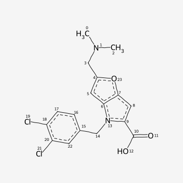 CN(C)Cc1cc2c(cc(C(=O)O)n2Cc2ccc(Cl)c(Cl)c2)o1